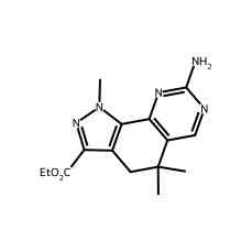 CCOC(=O)c1nn(C)c2c1CC(C)(C)c1cnc(N)nc1-2